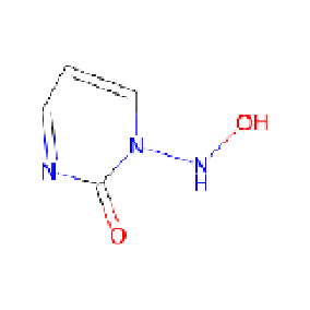 O=c1ncccn1NO